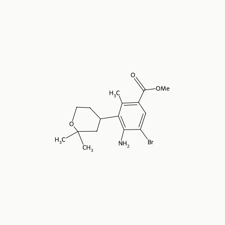 COC(=O)c1cc(Br)c(N)c(C2CCOC(C)(C)C2)c1C